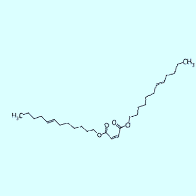 CCCCC=CCCCCCCOC(=O)/C=C\C(=O)OCCCCCCC=CCCCC